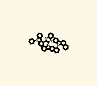 c1ccc(-n2c3ccccc3c3c(-c4nc5ccccc5nc4-n4c5ccccc5c5cc6cccc(-n7c8ccccc8c8ccc9ccccc9c87)c6cc54)cccc32)cc1